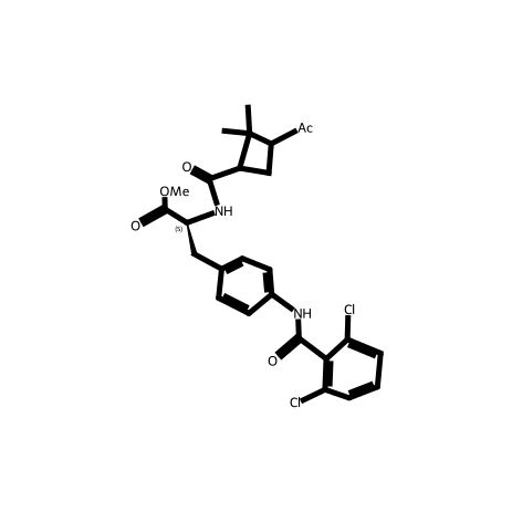 COC(=O)[C@H](Cc1ccc(NC(=O)c2c(Cl)cccc2Cl)cc1)NC(=O)C1CC(C(C)=O)C1(C)C